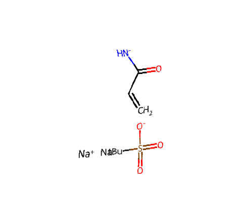 C=CC([NH-])=O.CC(C)(C)S(=O)(=O)[O-].[Na+].[Na+]